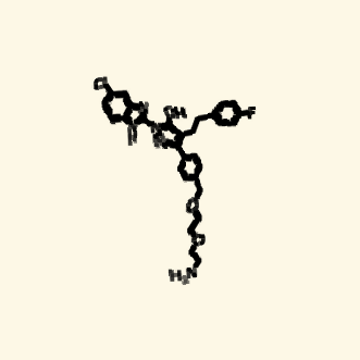 NCCOCCOCc1ccc(-c2nn(-c3nc4cc(Cl)ccc4[nH]3)c(O)c2CCc2ccc(F)cc2)cc1